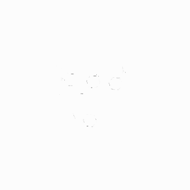 CC1=CC(c2ccc(-c3cccc([N+](=O)[O-])c3)nc2)C(C(=O)OC/C=C\c2ccccc2)=C(C)N1